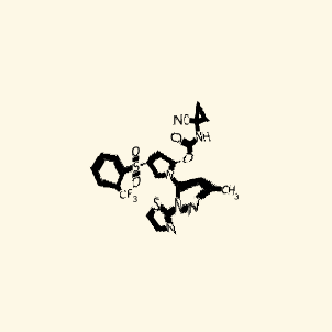 Cc1cc(N2C[C@H](S(=O)(=O)c3ccccc3C(F)(F)F)C[C@@H]2OC(=O)NC2(C#N)CC2)n(-c2nccs2)n1